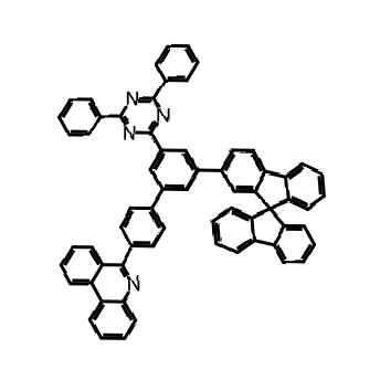 c1ccc(-c2nc(-c3ccccc3)nc(-c3cc(-c4ccc(-c5nc6ccccc6c6ccccc56)cc4)cc(-c4ccc5c(c4)C4(c6ccccc6-c6ccccc64)c4ccccc4-5)c3)n2)cc1